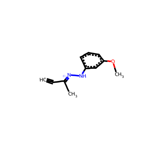 C#C/C(C)=N/Nc1cccc(OC)c1